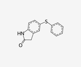 O=C1Cc2cc(Sc3ccccc3)ccc2N1